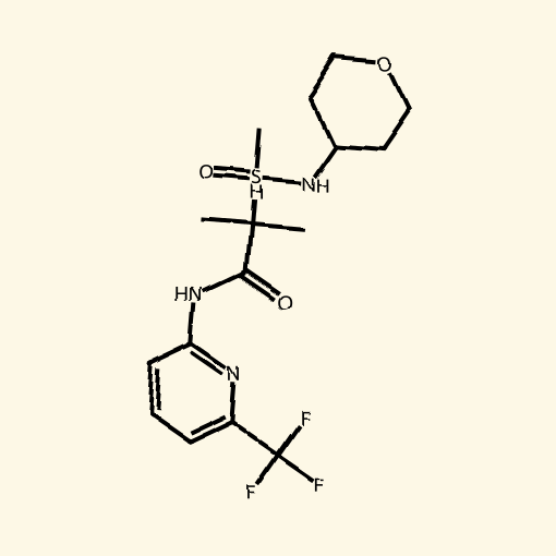 CC(C)(C(=O)Nc1cccc(C(F)(F)F)n1)[SH](C)(=O)NC1CCOCC1